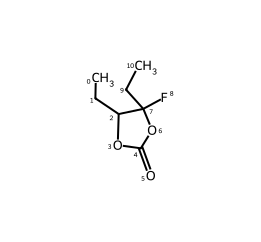 CCC1OC(=O)OC1(F)CC